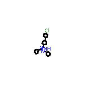 Clc1ccc(-c2ccc(C3=NC(c4ccccc4)=NC(c4ccccc4)N3)cc2)cc1